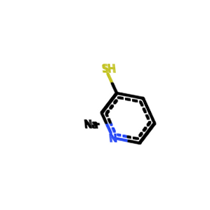 Sc1cccnc1.[Na]